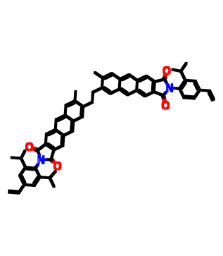 C=Cc1ccc(N2C(=O)c3cc4cc5cc(C)c(CCc6cc7cc8cc9c(cc8cc7cc6C)C(=O)N(c6c(C(C)C)cc(C=C)cc6C(C)C)C9=O)cc5cc4cc3C2=O)c(C(C)C)c1